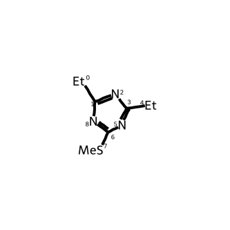 CCc1nc(CC)nc(SC)n1